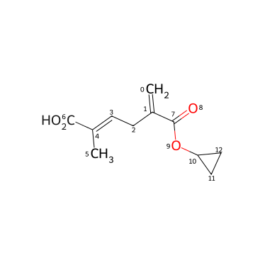 C=C(CC=C(C)C(=O)O)C(=O)OC1CC1